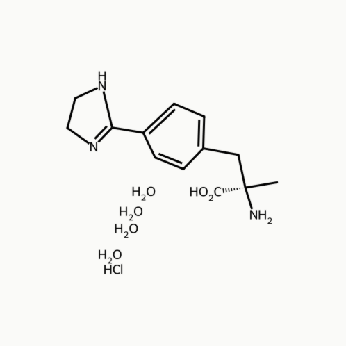 C[C@@](N)(Cc1ccc(C2=NCCN2)cc1)C(=O)O.Cl.O.O.O.O